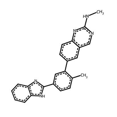 CNc1ncc2cc(-c3cc(-c4nc5ccccc5[nH]4)ccc3C)ccc2n1